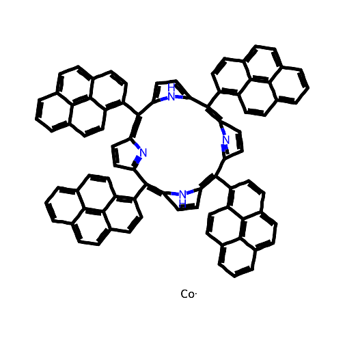 C1=Cc2nc1c(-c1ccc3ccc4cccc5ccc1c3c45)c1ccc([nH]1)c(-c1ccc3ccc4cccc5ccc1c3c45)c1nc(c(-c3ccc4ccc5cccc6ccc3c4c56)c3ccc([nH]3)c2-c2ccc3ccc4cccc5ccc2c3c45)C=C1.[Co]